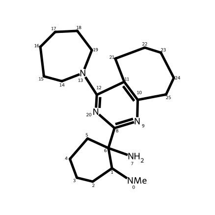 CNC1CCCCC1(N)c1nc2c(c(N3CCCCCC3)n1)CCCCC2